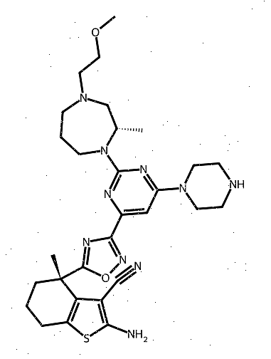 COCCN1CCCN(c2nc(-c3noc([C@@]4(C)CCCc5sc(N)c(C#N)c54)n3)cc(N3CCNCC3)n2)[C@@H](C)C1